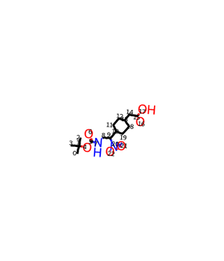 CC(C)(C)OC(=O)NCC(C1CCC(CC(=O)O)CC1)[N+](=O)[O-]